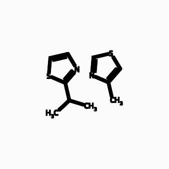 CC(C)c1nccs1.Cc1cscn1